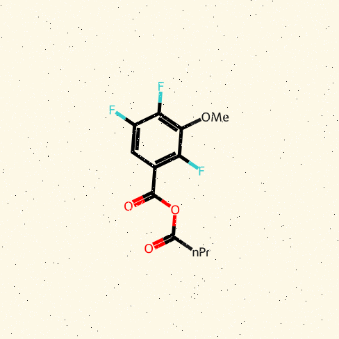 CCCC(=O)OC(=O)c1cc(F)c(F)c(OC)c1F